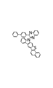 c1ccc(-c2ccc(-c3nc4ccccc4nc3-n3c4ccccc4c4cc5c(cc43)sc3c4ccccc4ccc53)cc2)cc1